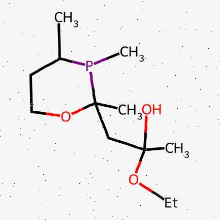 CCOC(C)(O)CC1(C)OCCC(C)P1C